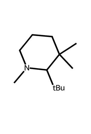 CN1CCCC(C)(C)C1C(C)(C)C